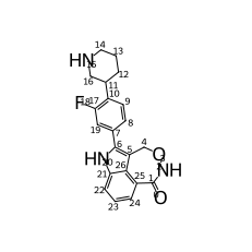 O=C1NOCc2c(-c3ccc(C4CCCNC4)c(F)c3)[nH]c3cccc1c23